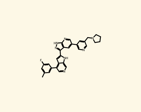 Cc1cc(F)cc(-c2cncc3[nH]c(-c4n[nH]c5ncc(-c6cncc(CN7CCCC7)c6)cc45)cc23)c1